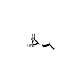 C1NN1.C=CC